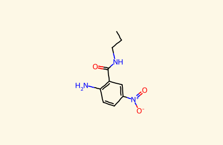 CCCNC(=O)c1cc([N+](=O)[O-])ccc1N